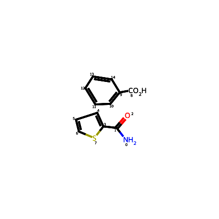 NC(=O)c1cccs1.O=C(O)c1ccccc1